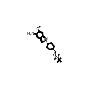 COc1cc2nn([C@H]3CC[C@H](CO[Si](C)(C)C(C)(C)C)CC3)cc2cc1N